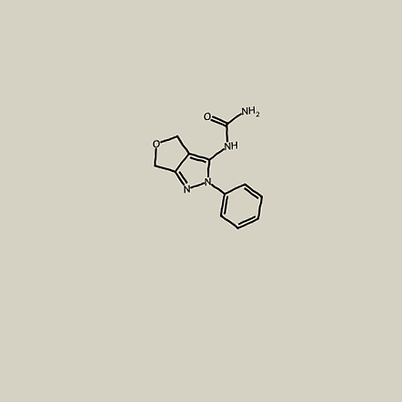 NC(=O)Nc1c2c(nn1-c1ccccc1)COC2